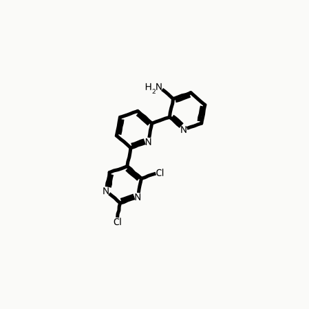 Nc1cccnc1-c1cccc(-c2cnc(Cl)nc2Cl)n1